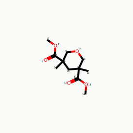 COC(=O)C1(C)COCC(C)(C(=O)OC)C1